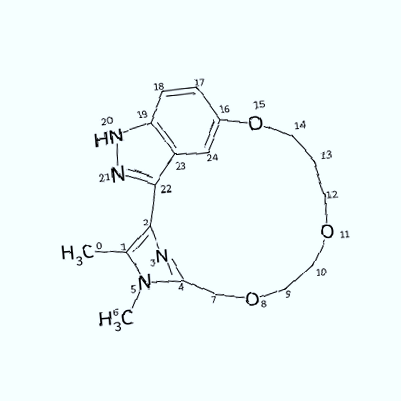 Cc1c2nc(n1C)COCCOCCCOc1ccc3[nH]nc-2c3c1